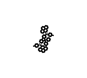 Cc1ccc(N(c2ccc3c(c2)C(c2ccccc2)(c2ccccc2)c2cc(N(c4ccc(C)cc4)c4cc5cccc6ccc7cccc4c7c65)ccc2-3)c2cc3cccc4ccc5cccc2c5c43)cc1